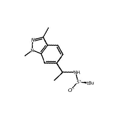 Cc1nn(C)c2cc(C(C)N[S@+]([O-])C(C)(C)C)ccc12